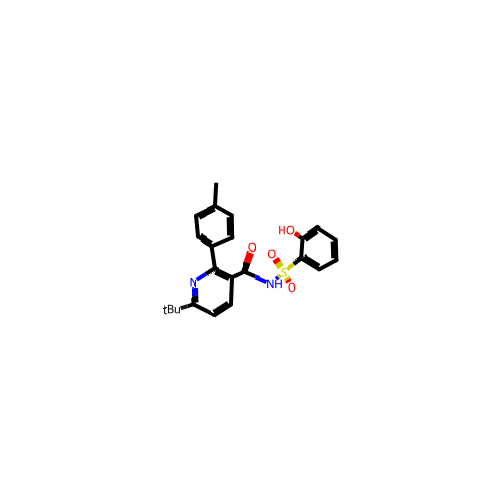 Cc1ccc(-c2nc(C(C)(C)C)ccc2C(=O)NS(=O)(=O)c2ccccc2O)cc1